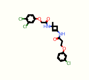 CC1(NC(=O)COc2ccc(Cl)c(Cl)c2)C=C(NC(=O)CCOc2cccc(Cl)c2)C1